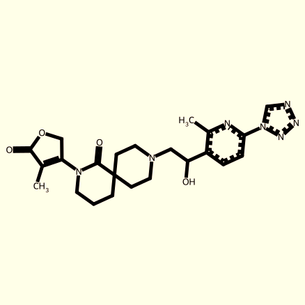 CC1=C(N2CCCC3(CCN(CC(O)c4ccc(-n5cnnn5)nc4C)CC3)C2=O)COC1=O